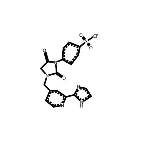 O=C1CN(Cc2ccnc(-c3ncc[nH]3)c2)C(=O)N1c1ccc(S(=O)(=O)C(F)(F)F)cc1